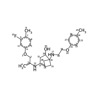 C=C(COc1ccc(C)c(F)c1)NC1=C2CC(NCCOc3ccc(C)cc3)(C2)C(O)C1